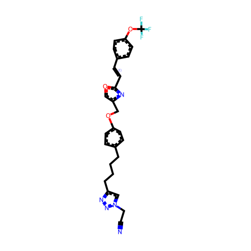 N#CCn1cc(CCCCc2ccc(OCc3coc(/C=C/c4ccc(OC(F)(F)F)cc4)n3)cc2)nn1